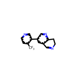 FC(F)(F)c1ccncc1-c1cnc2c(c1)C=NCC2